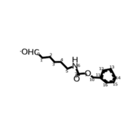 O=[C]CCCCCNC(=O)OCc1ccccc1